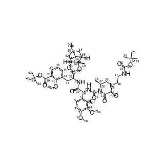 COc1ccc(C(NC(=O)N2C(=O)C(=O)N(CCNC(=O)OC(C)(C)C)C[C@@H]2C)C(=O)NC(Cc2cccc(C(=O)OC(C)(C)C)c2OC)B2O[C@@H]3C[C@@H]4C[C@@H](C4(C)C)[C@]3(C)O2)c(Cl)c1OC